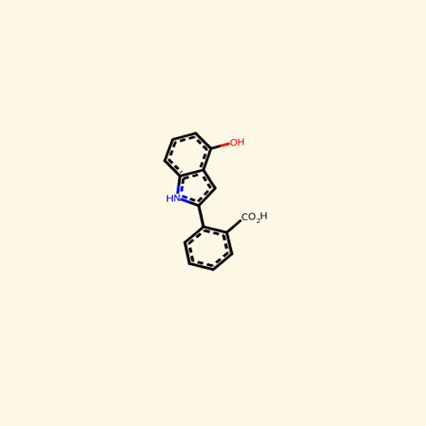 O=C(O)c1ccccc1-c1cc2c(O)cccc2[nH]1